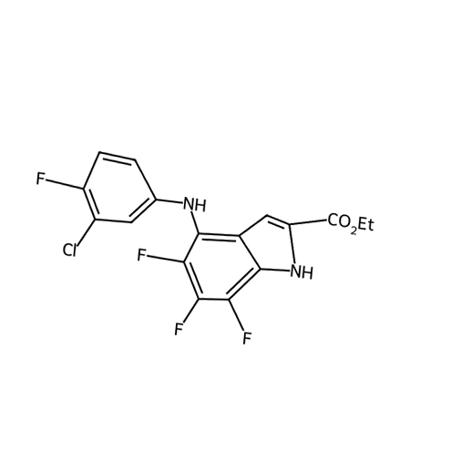 CCOC(=O)c1cc2c(Nc3ccc(F)c(Cl)c3)c(F)c(F)c(F)c2[nH]1